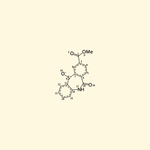 COC(=O)c1ccc2c(c1)[S+]([O-])c1ccccc1NC2=O